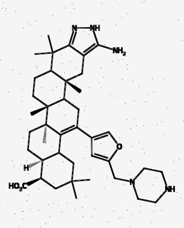 CC1(C)CC2C3=C(c4coc(CN5CCNCC5)c4)CC4[C@@]5(C)Cc6c(n[nH]c6N)C(C)(C)C5CC[C@@]4(C)[C@]3(C)CC[C@@H]2[C@H](C(=O)O)C1